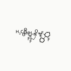 CS(=O)(=O)NC[C@H]1CN(C(=O)[C@@H]2C[C@H]2c2ccccc2-c2c(F)cccc2F)CCC1(F)F